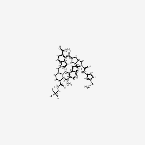 COc1nsc(NC(=O)N2CC3CN(Nc4c(C(N)=O)cnc5c4ccn5C[C@@H]4CC[C@H](C(=O)NCC(F)(F)F)CN4Nc4c(C(N)=O)cnc5[nH]ccc45)CC3C2)n1